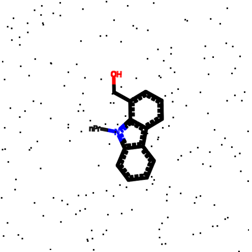 CCCn1c2ccccc2c2cccc(CO)c21